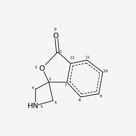 O=C1OC2(CNC2)c2ccccc21